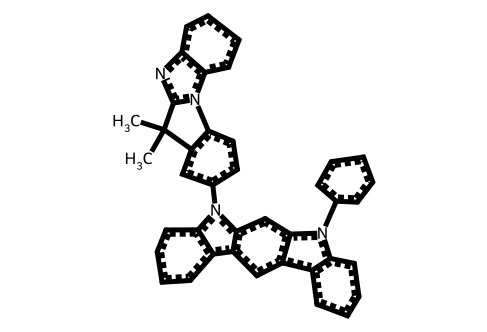 CC1(C)c2cc(-n3c4ccccc4c4cc5c6ccccc6n(-c6ccccc6)c5cc43)ccc2-n2c1nc1ccccc12